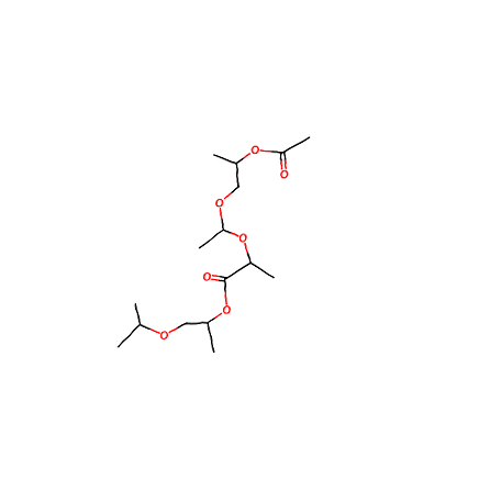 CC(=O)OC(C)COC(C)OC(C)C(=O)OC(C)COC(C)C